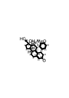 C#C[C@]1(O)CC[C@H]2[C@@H]3CCC4=CC(=O)CCC4=C3[C@@H](c3ccccc3OC)C[C@@]21C